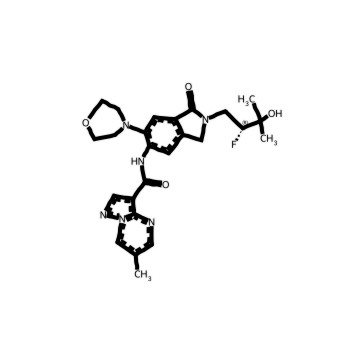 Cc1cnc2c(C(=O)Nc3cc4c(cc3N3CCOCC3)C(=O)N(C[C@@H](F)C(C)(C)O)C4)cnn2c1